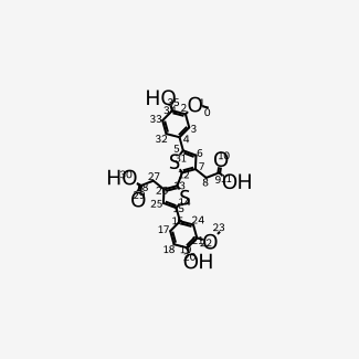 COc1cc(-c2cc(CC(=O)O)c(-c3sc(-c4ccc(O)c(OC)c4)cc3CC(=O)O)s2)ccc1O